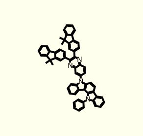 CC1(C)c2ccccc2-c2ccc(-c3nc4ccc(-n5c6ccccc6c6c5ccc5c7ccccc7n(-c7ccccc7)c56)cc4nc3-c3ccc4c(c3)C(C)(C)c3ccccc3-4)cc21